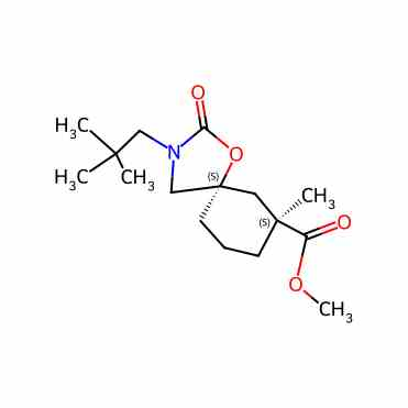 COC(=O)[C@@]1(C)CCC[C@@]2(CN(CC(C)(C)C)C(=O)O2)C1